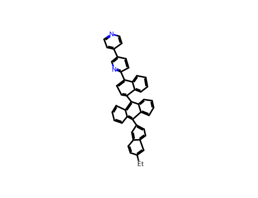 CCc1ccc2cc(-c3c4ccccc4c(-c4ccc(-c5ccc(-c6ccncc6)cn5)c5ccccc45)c4ccccc34)ccc2c1